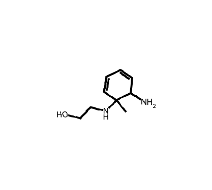 CC1(NCCO)C=CC=CC1N